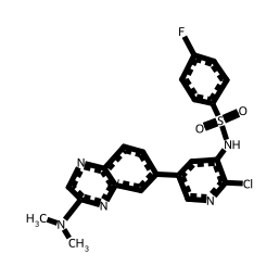 CN(C)c1cnc2ccc(-c3cnc(Cl)c(NS(=O)(=O)c4ccc(F)cc4)c3)cc2n1